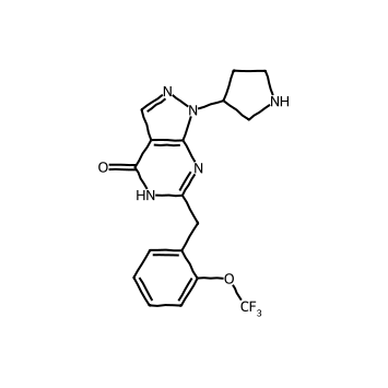 O=c1[nH]c(Cc2ccccc2OC(F)(F)F)nc2c1cnn2C1CCNC1